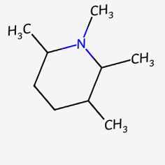 CC1CCC(C)N(C)C1C